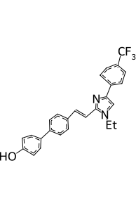 CCn1cc(-c2ccc(C(F)(F)F)cc2)nc1C=Cc1ccc(-c2ccc(O)cc2)cc1